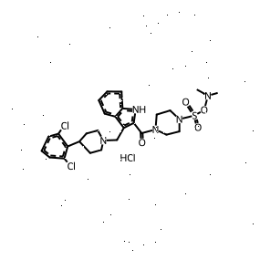 CN(C)OS(=O)(=O)N1CCN(C(=O)c2[nH]c3ccccc3c2CN2CCC(c3c(Cl)cccc3Cl)CC2)CC1.Cl